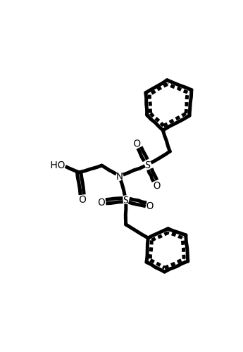 O=C(O)CN(S(=O)(=O)Cc1ccccc1)S(=O)(=O)Cc1ccccc1